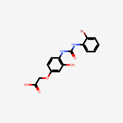 O=C(O)COc1ccc(NC(=O)Nc2ccccc2Br)c(O)c1